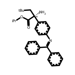 CC(C)OC(=O)[C@@](N)(CC(C)(C)C)c1ccc(N=C(c2ccccc2)c2ccccc2)cc1